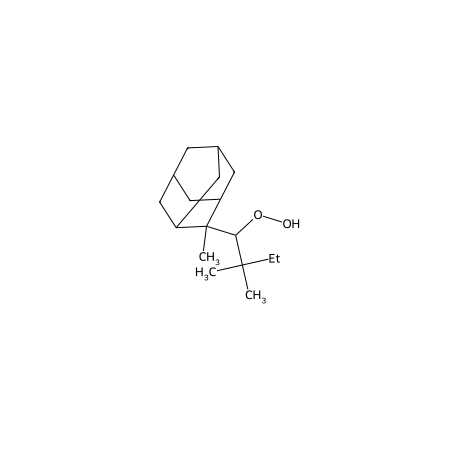 CCC(C)(C)C(OO)C1(C)C2CC3CC(C2)CC1C3